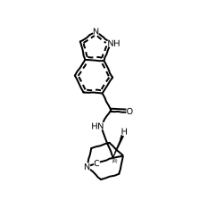 O=C(N[C@H]1CN2CCC1CC2)c1ccc2cn[nH]c2c1